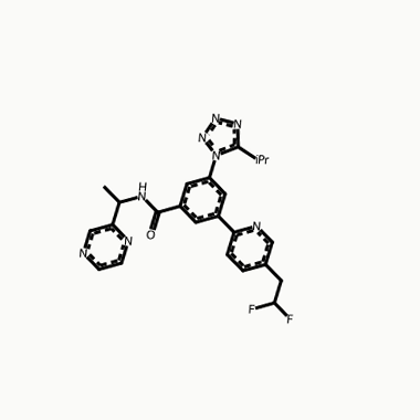 CC(C)c1nnnn1-c1cc(C(=O)NC(C)c2cnccn2)cc(-c2ccc(CC(F)F)cn2)c1